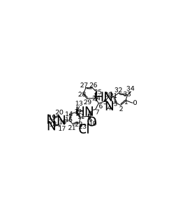 Cc1cc2nc(C(CNC(=O)c3c(C)cc(-n4cnnc4)cc3Cl)c3ccccc3)[nH]c2cc1C